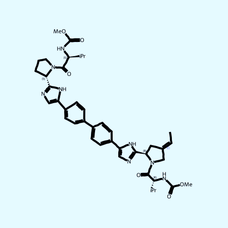 C/C=C1\C[C@H](c2ncc(-c3ccc(-c4ccc(-c5cnc([C@@H]6CCCN6C(=O)[C@@H](NC(=O)OC)C(C)C)[nH]5)cc4)cc3)[nH]2)N(C(=O)[C@H](NC(=O)OC)C(C)C)C1